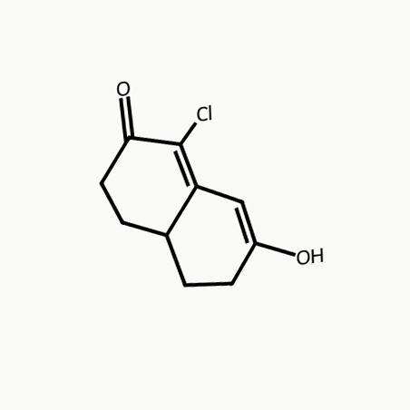 O=C1CCC2CCC(O)=CC2=C1Cl